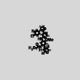 C=CC(=O)Nc1cc(Nc2cc(N3OCC[C@@H]3c3ccc(Cl)c(F)c3)ncn2)c(OC)cc1N1C[C@@H]2C[C@H]1CO2